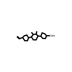 C=CC1CCC(C2CCC(C3CCC(OC)CC3)C(C)C2C)CC1